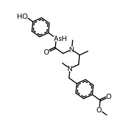 COC(=O)c1ccc(CN(C)CC(C)N(C)CC(=O)[AsH]c2ccc(O)cc2)cc1